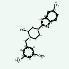 CC[C@H]1CN(c2nc3ccc(C(F)(F)F)cc3s2)CCN1Cc1cc(C)cc(OC(C)=O)c1